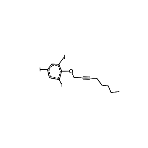 CCCCCC#CCOc1c(I)cc(I)cc1I